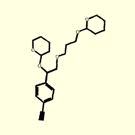 C#Cc1ccc(C(COCCCOC2CCCCO2)OC2CCCCO2)cc1